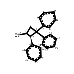 C[CH]C1CC(c2ccccc2)(c2ccccc2)[C@H]1c1ccccc1